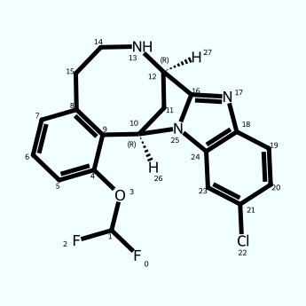 FC(F)Oc1cccc2c1[C@H]1C[C@@H](NCC2)c2nc3ccc(Cl)cc3n21